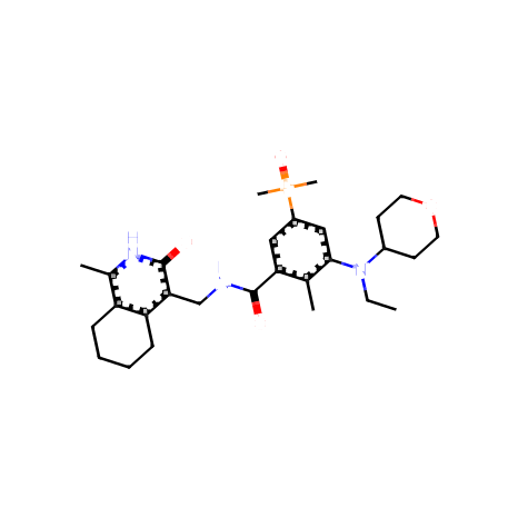 CCN(c1cc(P(C)(C)=O)cc(C(=O)NCc2c3c(c(C)[nH]c2=O)CCCC3)c1C)C1CCOCC1